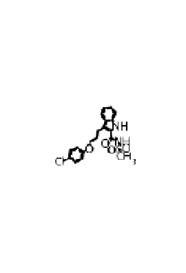 CS(=O)(=O)NC(=O)c1[nH]c2ccccc2c1CCCOc1ccc(Cl)cc1